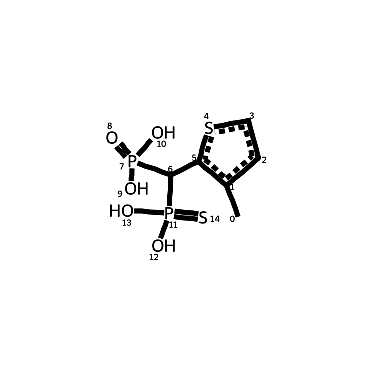 Cc1ccsc1C(P(=O)(O)O)P(O)(O)=S